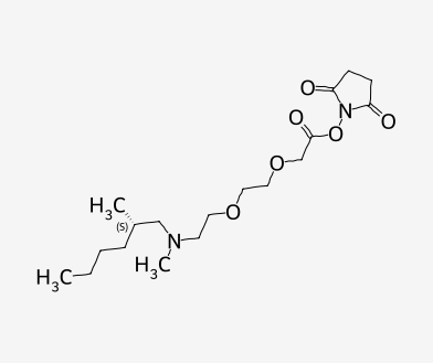 CCCC[C@H](C)CN(C)CCOCCOCC(=O)ON1C(=O)CCC1=O